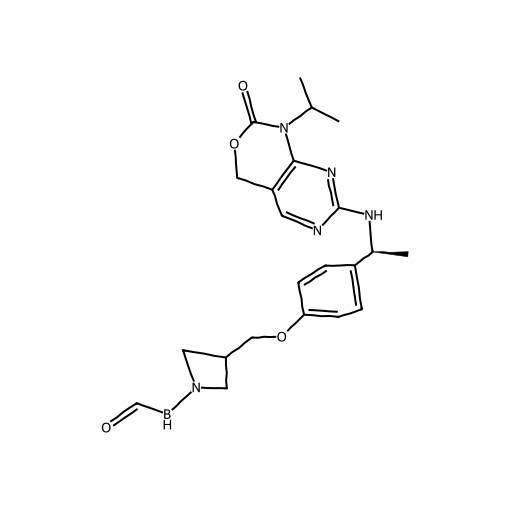 CC(C)N1C(=O)OCc2cnc(N[C@@H](C)c3ccc(OCC4CN(BC=O)C4)cc3)nc21